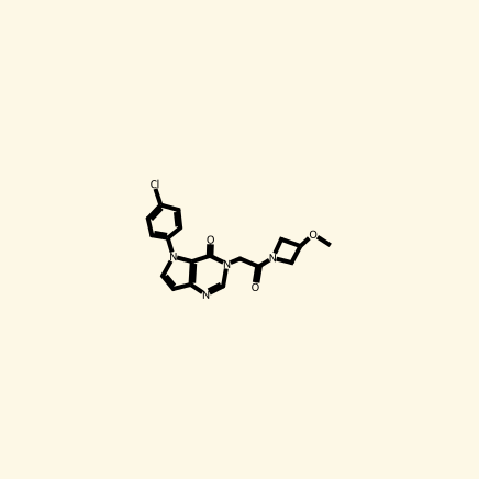 COC1CN(C(=O)Cn2cnc3ccn(-c4ccc(Cl)cc4)c3c2=O)C1